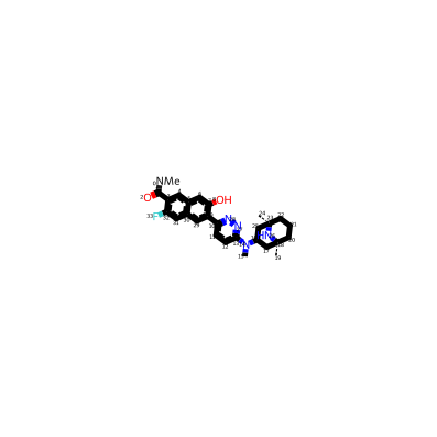 CNC(=O)c1cc2cc(O)c(-c3ccc(N(C)C4C[C@]5(C)CCC[C@](C)(C4)N5)nn3)cc2cc1F